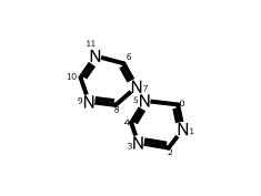 c1ncncn1.c1ncncn1